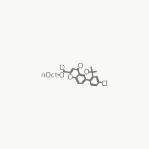 CCCCCCCCOC(=O)c1cc(=O)c2c3c(ccc2o1)-c1ccc(Cl)cc1C(C)(C)O3